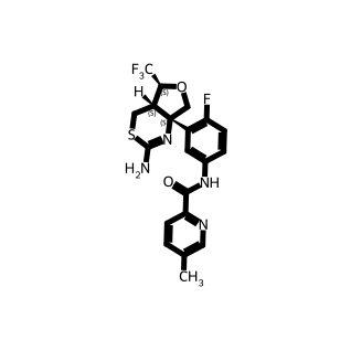 Cc1ccc(C(=O)Nc2ccc(F)c([C@]34CO[C@H](C(F)(F)F)[C@H]3CSC(N)=N4)c2)nc1